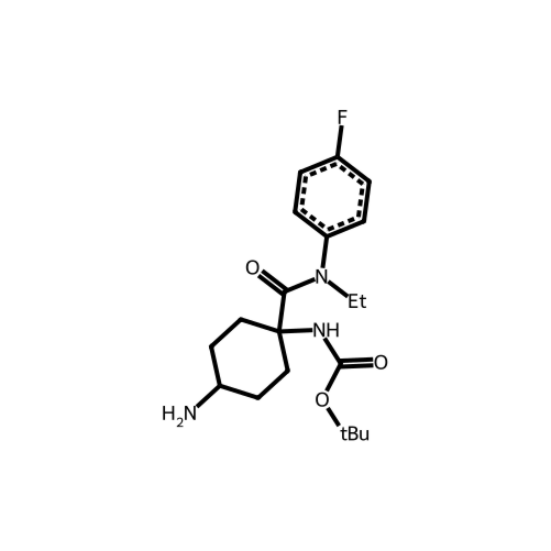 CCN(C(=O)C1(NC(=O)OC(C)(C)C)CCC(N)CC1)c1ccc(F)cc1